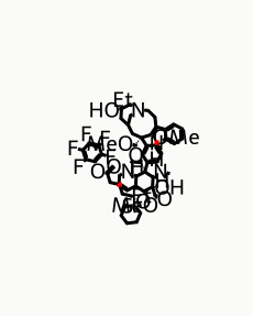 CC[C@]1(O)CC2CN(CCc3c([nH]c4ccccc34)[C@@](C(=O)OC)(c3cc4c(cc3OC)N(C)[C@H]3[C@@](O)(C(=O)OC)[C@H](O[Si]5(CCCCC(=O)Oc6c(F)c(F)c(F)c(F)c6F)CCCCC5)[C@]5(CC)C=CCN6CC[C@]43[C@@H]65)C2)C1